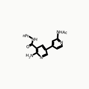 CCCNC(=O)c1cc(-c2ccnc(NC(C)=O)c2)cnc1N